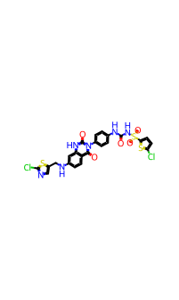 O=C(Nc1ccc(-n2c(=O)[nH]c3cc(NCc4cnc(Cl)s4)ccc3c2=O)cc1)NS(=O)(=O)c1ccc(Cl)s1